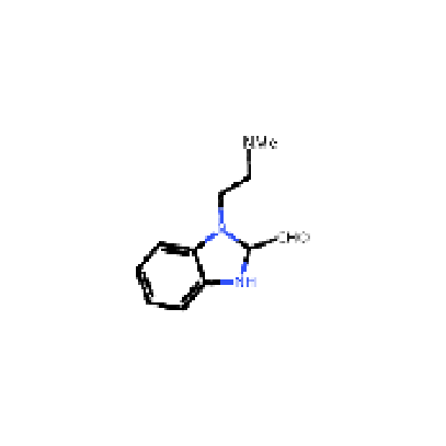 CNCCN1c2ccccc2NC1C=O